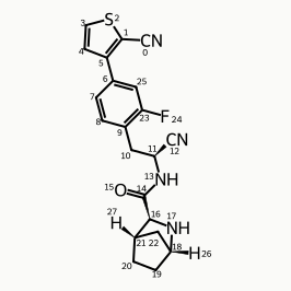 N#Cc1sccc1-c1ccc(C[C@@H](C#N)NC(=O)[C@H]2N[C@@H]3CC[C@H]2C3)c(F)c1